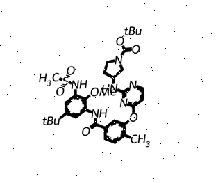 COc1c(NC(=O)c2ccc(C)c(Oc3ccnc(NC4CCN(C(=O)OC(C)(C)C)C4)n3)c2)cc(C(C)(C)C)cc1NS(C)(=O)=O